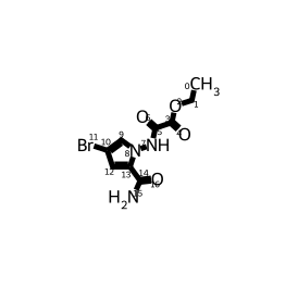 CCOC(=O)C(=O)Nn1cc(Br)cc1C(N)=O